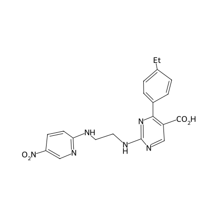 CCc1ccc(-c2nc(NCCNc3ccc([N+](=O)[O-])cn3)ncc2C(=O)O)cc1